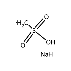 [CH2]S(=O)(=O)O.[NaH]